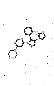 Oc1ccccc1-c1c(-n2ccnn2)cnn1-c1cc(N2CCOCC2)ncn1